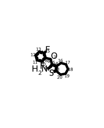 Nc1sc2c(c1C(=O)c1c(F)cccc1F)CCCCC2